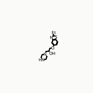 CCc1nc2cc(OCC(O)CN3CCNCC3)ccc2s1